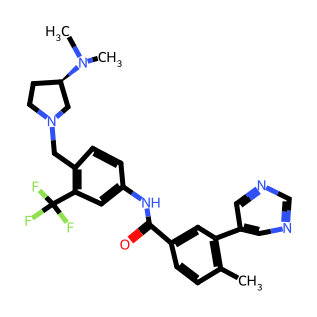 Cc1ccc(C(=O)Nc2ccc(CN3CC[C@@H](N(C)C)C3)c(C(F)(F)F)c2)cc1-c1cncnc1